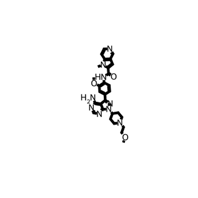 COCCN1CCC(n2nc(-c3ccc(NC(=O)c4cc5cnccc5n4C)c(OC)c3)c3c(N)ncnc32)CC1